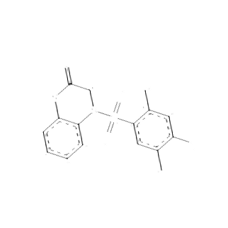 Cc1cc(S(=O)(=O)N2[CH]C(=O)Nc3ccccc32)c(C)cc1Cl